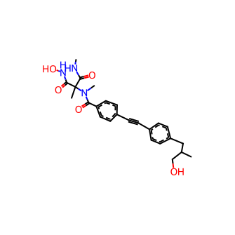 CNC(=O)C(C)(C(=O)NO)N(C)C(=O)c1ccc(C#Cc2ccc(CC(C)CO)cc2)cc1